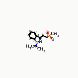 CC(C)n1nc(CCS(C)(=O)=O)c2ccccc21